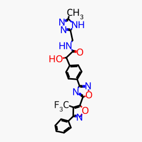 Cc1nnc(CNC(=O)C(O)c2ccc(-c3noc(-c4onc(-c5ccccc5)c4C(F)(F)F)n3)cc2)[nH]1